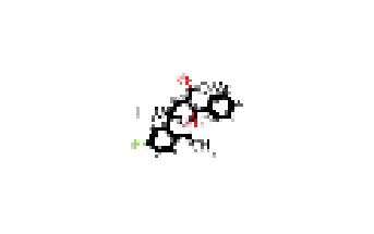 C=Cc1ccc(F)cc1C(C)(C)CC(C(=O)OC)C(=O)c1ccccc1